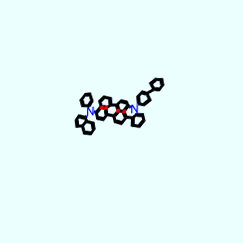 C1=CC2C=CC=C(N(c3ccccc3)c3ccc(-c4ccc(-c5ccccc5N(c5ccc(-c6ccccc6)cc5)c5ccc(-c6ccccc6)cc5)cc4)cc3)C2C=C1